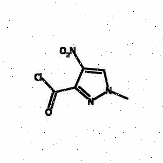 Cn1cc([N+](=O)[O-])c(C(=O)Cl)n1